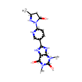 CCCn1c(=O)c2[nH]c(-c3ccc(N4N=C(C)CC4=O)nc3)nc2n(CCC)c1=O